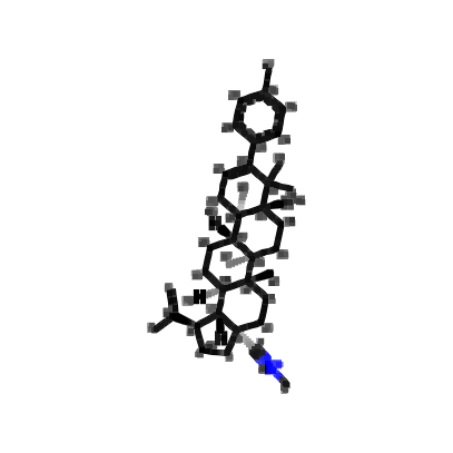 C=C(C)[C@@H]1CC[C@]2(C#[N+]C)CC[C@]3(C)[C@H](CC[C@@H]4[C@@]5(C)CC=C(c6ccc(C)cc6)C(C)(C)[C@@H]5CC[C@]43C)[C@@H]12